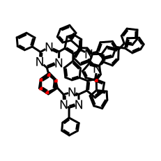 c1ccc(-c2ccc3c(c2)c2cc(-c4ccccc4)ccc2n3-c2cccc(-c3nc(-c4ccccc4)nc(-c4ccccc4)n3)c2-c2cccc(-c3c(-c4nc(-c5ccccc5)nc(-c5ccccc5)n4)cccc3-n3c4ccc(-c5ccccc5)cc4c4cc(-c5ccccc5)ccc43)c2)cc1